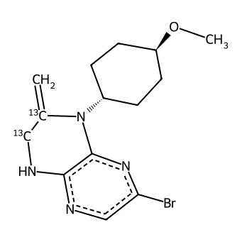 C=[13C]1[13CH2]Nc2ncc(Br)nc2N1[C@H]1CC[C@H](OC)CC1